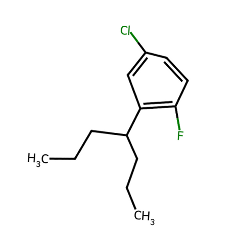 CCCC(CCC)c1cc(Cl)ccc1F